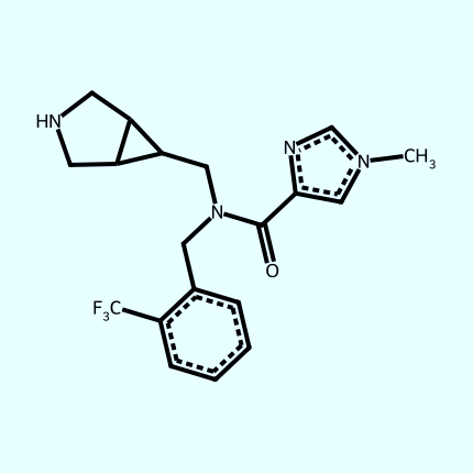 Cn1cnc(C(=O)N(Cc2ccccc2C(F)(F)F)CC2C3CNCC32)c1